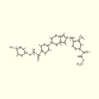 CCNC(=O)c1ccc(Nc2nc3ccc(-c4ccc(C(=O)NCc5ccc(F)cc5)cc4)cn3n2)c(C)c1